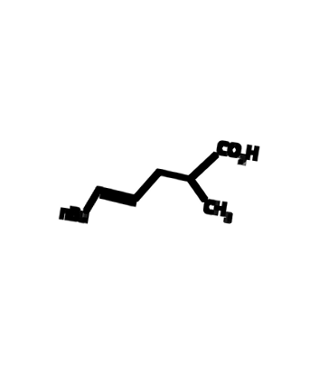 CCCC/C=C/CC(C)C(=O)O